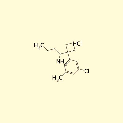 CCCC(N)C1(c2cc(C)cc(Cl)c2)CCC1.Cl